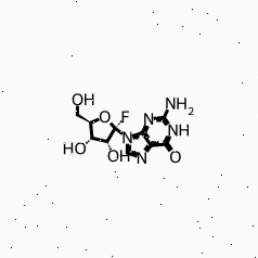 Nc1nc2c(ncn2[C@]2(F)O[C@H](CO)[C@@H](O)[C@H]2O)c(=O)[nH]1